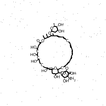 CC1/C=C/C=C/CC/C=C/C=C/C=C/C=C/C(O[C@@H]2OC[C@@H](O)[C@H](N)[C@@H]2O)CC2OC(O)(CC(O)CCCC(O)CC(O)CC(O)CC(=O)OC(C)C(C)C1OC1C[C@@H](O)[C@@H](O)[C@H](C)O1)CC(O)C2C(=O)O